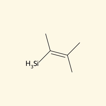 CC(C)=C(C)[SiH3]